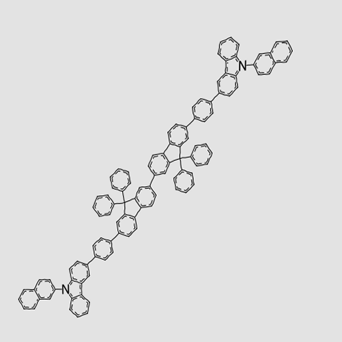 c1ccc(C2(c3ccccc3)c3cc(-c4ccc(-c5ccc6c(c5)c5ccccc5n6-c5ccc6ccccc6c5)cc4)ccc3-c3ccc(-c4ccc5c(c4)C(c4ccccc4)(c4ccccc4)c4cc(-c6ccc(-c7ccc8c(c7)c7ccccc7n8-c7ccc8ccccc8c7)cc6)ccc4-5)cc32)cc1